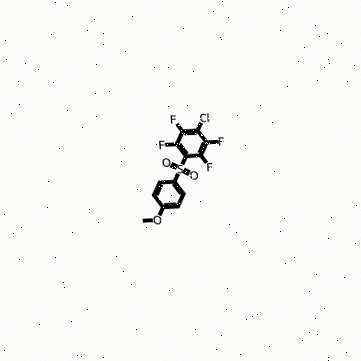 COc1ccc(S(=O)(=O)c2c(F)c(F)c(Cl)c(F)c2F)cc1